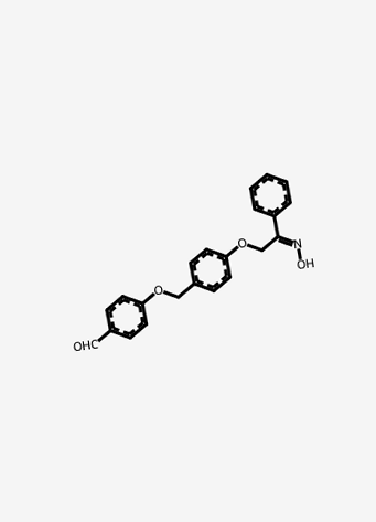 O=Cc1ccc(OCc2ccc(OC/C(=N\O)c3ccccc3)cc2)cc1